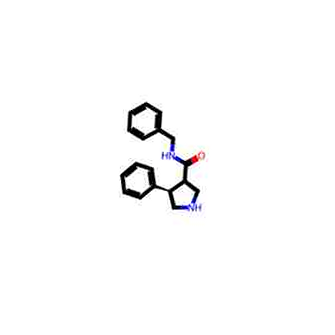 O=C(NCc1ccccc1)C1CNC[C@H]1c1ccccc1